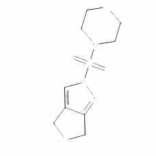 O=S(=O)(N1CCOCC1)n1cc2c(n1)CNC2